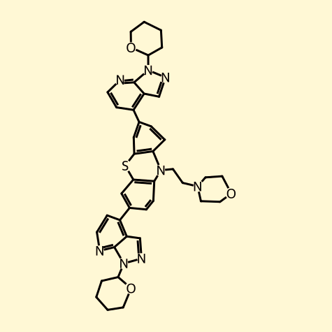 c1cc(-c2ccc3c(c2)Sc2cc(-c4ccnc5c4cnn5C4CCCCO4)ccc2N3CCN2CCOCC2)c2cnn(C3CCCCO3)c2n1